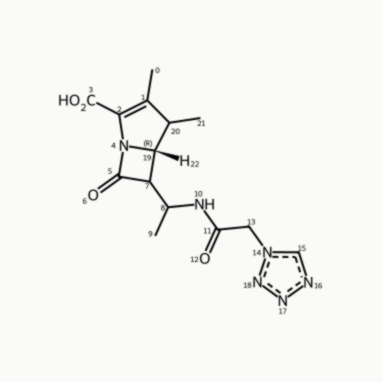 CC1=C(C(=O)O)N2C(=O)C(C(C)NC(=O)Cn3cnnn3)[C@H]2C1C